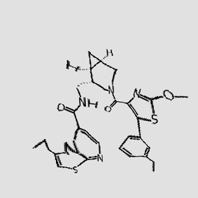 CCc1csc2ncc(C(=O)NC[C@@H]3[C@H]4C[C@H]4CN3C(=O)c3nc(OC)sc3-c3cccc(C)c3)n12